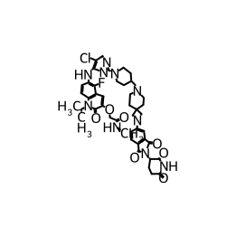 CNC(=O)COc1cc2c(F)c(Nc3nc(N4CCC(CN5CCC6(CC5)CN(c5ccc7c(c5)C(=O)N(C5CCC(=O)NC5=O)C7=O)C6)CC4)ncc3Cl)ccc2n(C(C)C)c1=O